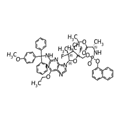 CCOc1nc(NC(c2ccccc2)(c2ccccc2)c2ccc(OC)cc2)nc2c1ncn2[C@@H]1O[C@](F)(COP(=O)(N[C@@H](C)C(=O)OC(C)C)Oc2cccc3ccccc23)[C@@H](C)[C@@]1(C)F